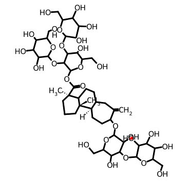 C=C1CC2CCC3[C@](C)(C(=O)OC4OC(CO)C(O)C(OC5OC(CO)C(O)C(O)C5O)C4OC4OC(CO)C(O)C(O)C4O)CCC[C@@]3(C)[C@@H]2CCC1OC1OC(CO)C(O)C(OC2OC(CO)C(O)C(O)C2O)C1O